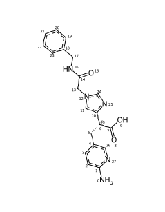 Nc1ccc(C[C@@H](C(=O)O)c2cn(CC(=O)NCc3ccccc3)cn2)cn1